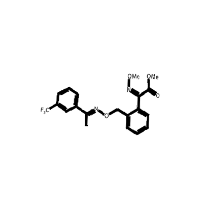 CON=C(C(=O)OC)c1ccccc1CO/N=C(\C)c1cccc(C(F)(F)F)c1